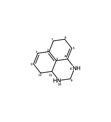 C1=CC2=C3C(=CCC2)NCNC3C1